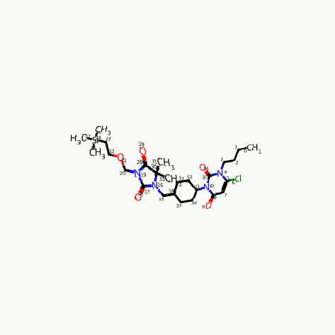 CCCCn1c(Cl)cc(=O)n(C2CCC(CN3C(=O)N(COCC[Si](C)(C)C)C(=O)C3(C)C)CC2)c1=O